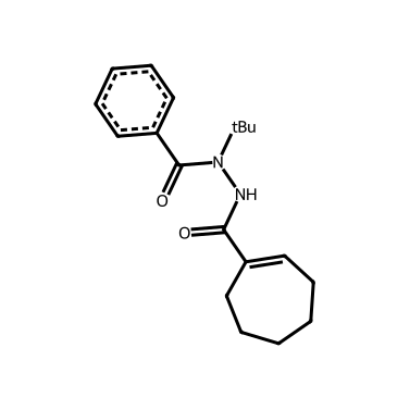 CC(C)(C)N(NC(=O)C1=CCCCCC1)C(=O)c1ccccc1